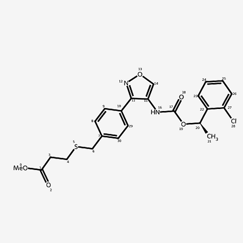 COC(=O)CCSCc1ccc(-c2nocc2NC(=O)O[C@H](C)c2ccccc2Cl)cc1